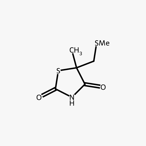 CSCC1(C)SC(=O)NC1=O